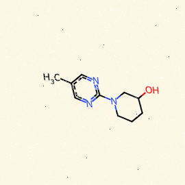 Cc1cnc(N2CCCC(O)C2)nc1